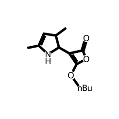 CCCCOC1=C(C2NC(C)=CC2C)C(=O)O1